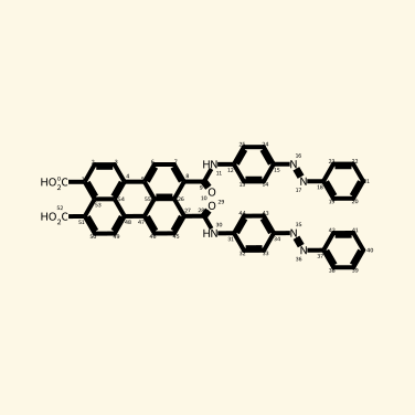 O=C(O)c1ccc2c3ccc(C(=O)Nc4ccc(N=Nc5ccccc5)cc4)c4c(C(=O)Nc5ccc(N=Nc6ccccc6)cc5)ccc(c5ccc(C(=O)O)c1c25)c43